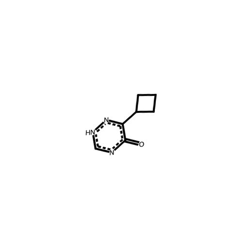 O=c1nc[nH]nc1C1CCC1